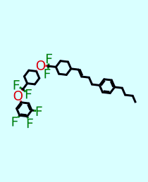 CCCCc1ccc(CC/C=C/C2CCC(C(F)(F)OC3CCC(C(F)(F)Oc4cc(F)c(F)c(F)c4)CC3)CC2)cc1